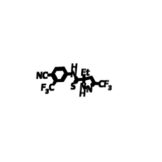 CCC1(C(=S)Nc2ccc(C#N)c(C(F)(F)F)c2)CC(C(F)(F)F)=NN1